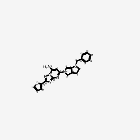 Nc1cc(N2C=C3C(CCN3Cc3ccccc3)C2)nc2nc(-c3ccco3)nn12